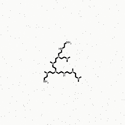 CN(C)CCN(C)CCNCCN(CCN(C)CCN)CCN(C)CCN(CCNCCN)CCN(C)C